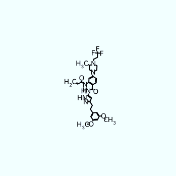 C=CC(=O)Nc1cc(N2CCN(CCC(F)(F)F)C(C)C2)ccc1C(=O)Nc1cc(CCc2cc(OC)cc(OC)c2)n[nH]1